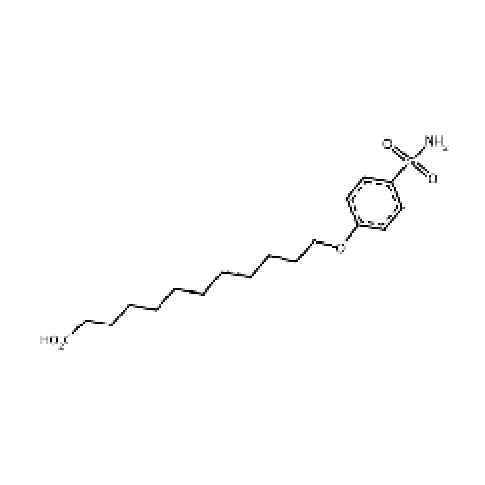 NS(=O)(=O)c1ccc(OCCCCCCCCCCCC(=O)O)cc1